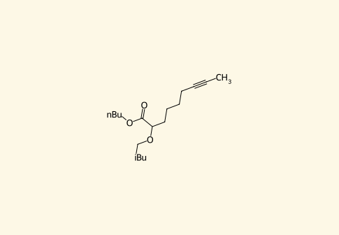 CC#CCCCCC(OCC(C)CC)C(=O)OCCCC